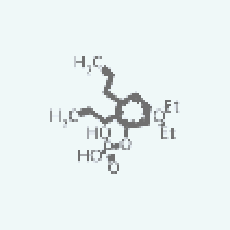 C=CCc1cccc(OP(=O)(O)O)c1CC=C.CCOCC